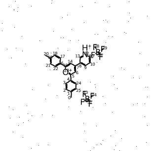 Cc1ccc(-c2cc(-c3ccc[nH+]c3)cc(-c3ccc(C)cc3)[o+]2)cc1.F[B-](F)(F)F.F[B-](F)(F)F